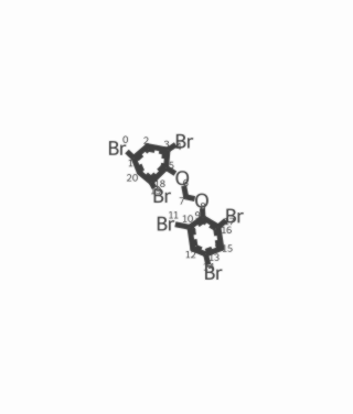 Brc1cc(Br)c(OCOc2c(Br)cc(Br)cc2Br)c(Br)c1